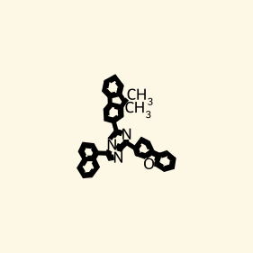 CC1(C)c2ccccc2-c2ccc(-c3cn4c(-c5cccc6ccccc56)cnc4c(-c4ccc5c(c4)oc4ccccc45)n3)cc21